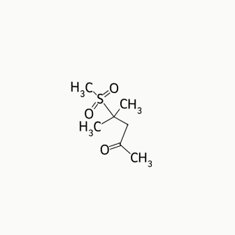 CC(=O)CC(C)(C)S(C)(=O)=O